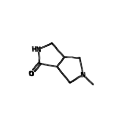 CN1CC2CNC(=O)C2C1